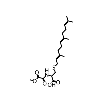 COC(=O)C(=O)NC(CSC/C=C(\C)CC/C=C(\C)CCC=C(C)C)C(=O)O